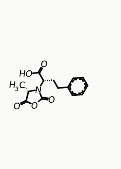 C[C@H]1C(=O)OC(=O)N1[C@@H](CCc1ccccc1)C(=O)O